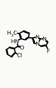 Cc1ccc(-c2cn3cc(F)cnc3n2)cc1NC(=O)c1ccccc1Cl